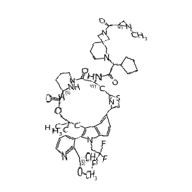 CO[C@@H](C)c1ncccc1-c1c2c3cc(ccc3n1CC(F)(F)F)-c1csc(n1)C[C@H](NC(=O)C(C1CCCC1)N1CCCC3(CN(C(=O)[C@H]4CN4C)C3)C1)C(=O)N1CCC[C@H](N1)C(=O)OCC(C)(C)C2